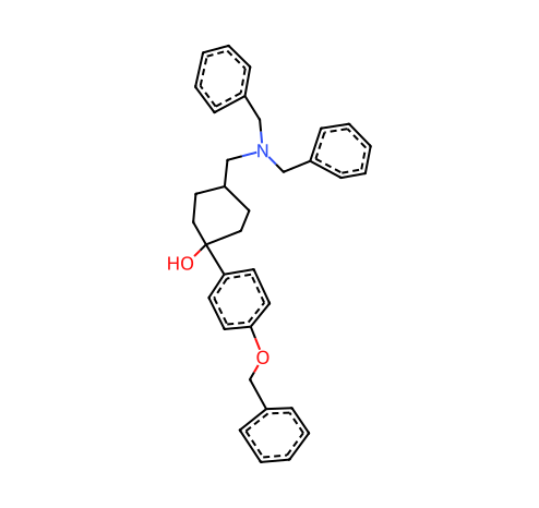 OC1(c2ccc(OCc3ccccc3)cc2)CCC(CN(Cc2ccccc2)Cc2ccccc2)CC1